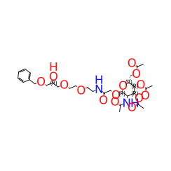 CC(=O)NC1[C@H](OCC(=O)NCCOCCOC[C@H](O)COCc2ccccc2)O[C@H](COC(C)=O)[C@H](OC(C)=O)[C@@H]1OC(C)=O